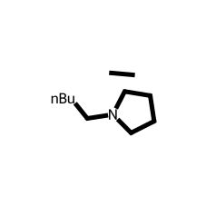 CC.CCCCCN1CCCC1